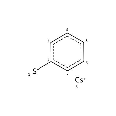 [Cs+].[S-]c1ccccc1